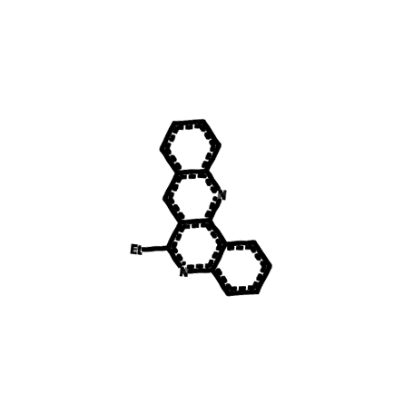 CCc1nc2ccccc2c2nc3ccccc3cc12